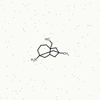 CC12CC3CC(N)(CCCC3(CO)C1)C2